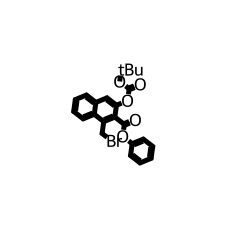 CC(C)(C)OC(=O)Oc1cc2ccccc2c(CBr)c1C(=O)Oc1ccccc1